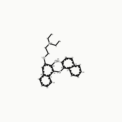 CCN(CC)CCOc1cc2ccccc2c(Sc2cccc3ccccc23)c1O